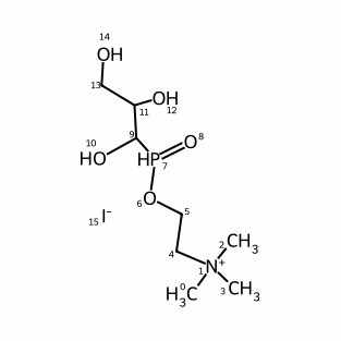 C[N+](C)(C)CCO[PH](=O)C(O)C(O)CO.[I-]